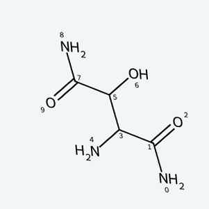 NC(=O)C(N)C(O)C(N)=O